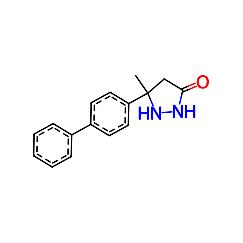 CC1(c2ccc(-c3ccccc3)cc2)CC(=O)NN1